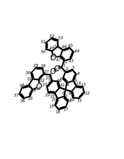 O=C(c1ccc2c(c1)C1(c3ccccc3-2)c2ccccc2-c2ccc(C(=O)c3cccc4c3oc3ccccc34)cc21)c1cccc2c1OC1C=CC=CC21